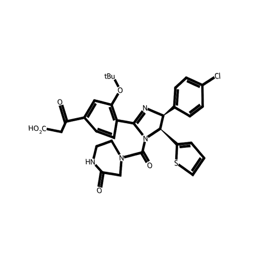 CC(C)(C)Oc1cc(C(=O)CC(=O)O)ccc1C1=N[C@@H](c2ccc(Cl)cc2)[C@@H](c2cccs2)N1C(=O)N1CCNC(=O)C1